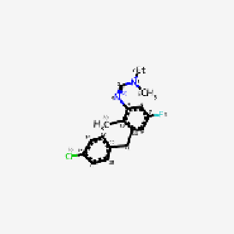 CCN(C)/C=N\c1cc(F)cc(Cc2ccc(Cl)cc2)c1C